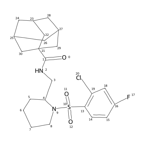 O=C(NCC1CCCCN1S(=O)(=O)c1ccc(F)cc1Cl)C12CC3CC(CC(C3)C1)C2